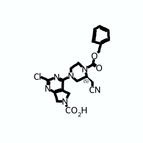 N#CC[C@H]1CN(c2nc(Cl)nc3c2CN(C(=O)O)C3)CCN1C(=O)OCc1ccccc1